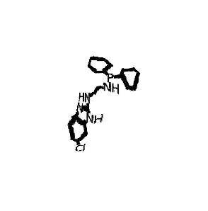 Clc1ccc2nc(NCCNP(c3ccccc3)c3ccccc3)[nH]c2c1